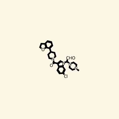 CN1CCN(C(C=O)n2cc(C(=O)N3CCC(c4cccc5c4OCC5)CC3)c3ccc(Cl)cc32)CC1